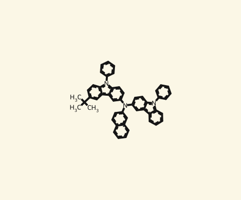 CC(C)(C)c1ccc2c(c1)c1cc(N(c3ccc4ccccc4c3)c3ccc4c(c3)c3ccccc3n4-c3ccccc3)ccc1n2-c1ccccc1